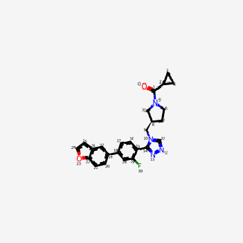 O=C(C1CC1)N1CC[C@@H](Cn2cnnc2-c2ccc(-c3ccc4occc4c3)cc2F)C1